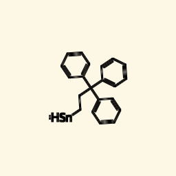 [SnH][CH2]CC(c1ccccc1)(c1ccccc1)c1ccccc1